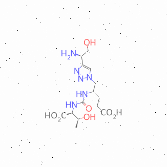 C[C@H](O)[C@H](NC(=O)N[C@@H](CCC(=O)O)Cn1cc([C@@H](N)CO)nn1)C(=O)O